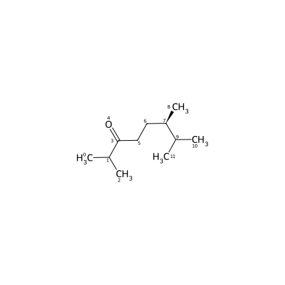 CC(C)C(=O)CC[C@@H](C)C(C)C